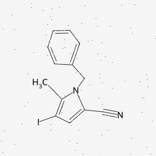 Cc1c(I)cc(C#N)n1Cc1ccccc1